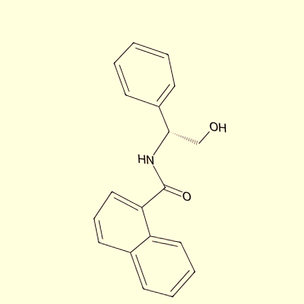 O=C(N[C@@H](CO)c1ccccc1)c1cccc2ccccc12